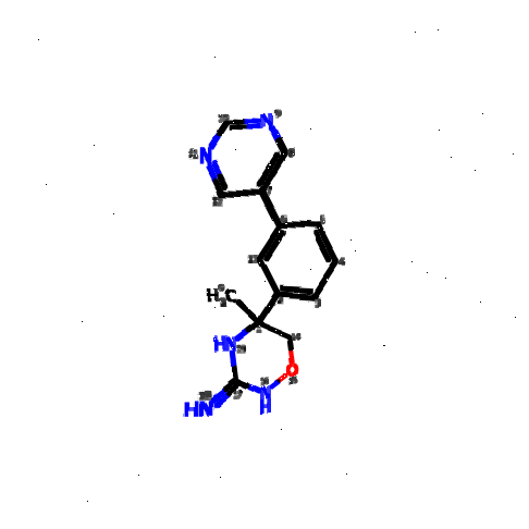 CC1(c2cccc(-c3cncnc3)c2)CONC(=N)N1